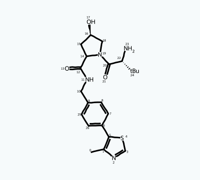 Cc1ncsc1-c1ccc(CNC(=O)C2C[C@@H](O)CN2C(=O)[C@H](N)C(C)(C)C)cc1